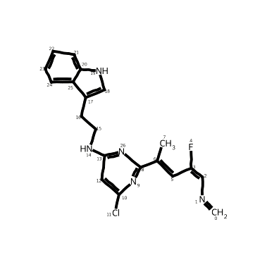 C=N/C=C(F)\C=C(/C)c1nc(Cl)cc(NCCc2c[nH]c3ccccc23)n1